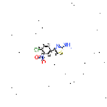 Nc1nc(-c2ccc(Cl)c([N+](=O)[O-])c2)cs1